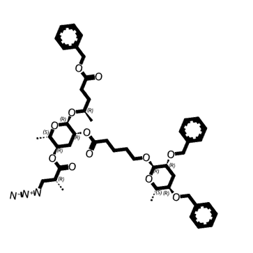 C[C@H](CCC(=O)OCc1ccccc1)O[C@@H]1O[C@@H](C)[C@H](OC(=O)[C@H](C)CN=[N+]=[N-])C[C@H]1OC(=O)CCCCO[C@@H]1O[C@@H](C)[C@H](OCc2ccccc2)C[C@H]1OCc1ccccc1